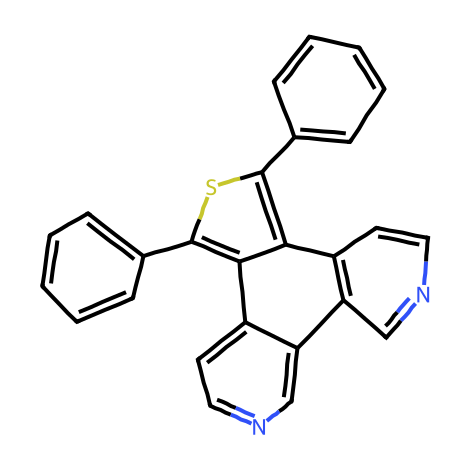 c1ccc(-c2sc(-c3ccccc3)c3c4ccncc4c4cnccc4c23)cc1